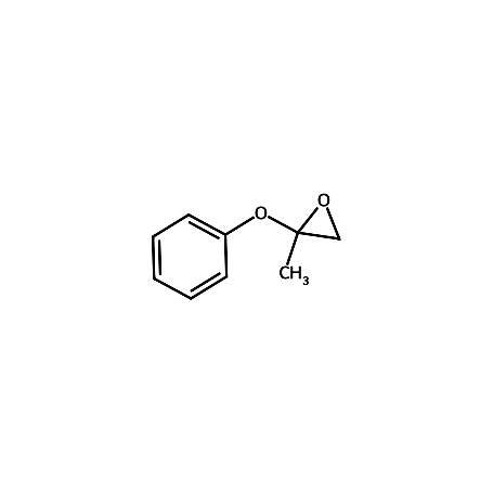 CC1(Oc2ccccc2)CO1